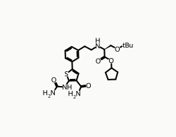 CC(C)(C)OC[C@H](NCCc1cccc(-c2cc(C(N)=O)c(NC(N)=O)s2)c1)C(=O)OC1CCCC1